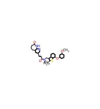 COc1cccc(Oc2cccc3c(CN(C)C(=O)/C=C/c4cnc5c(c4)CCCC(=O)N5)c(C)sc23)c1